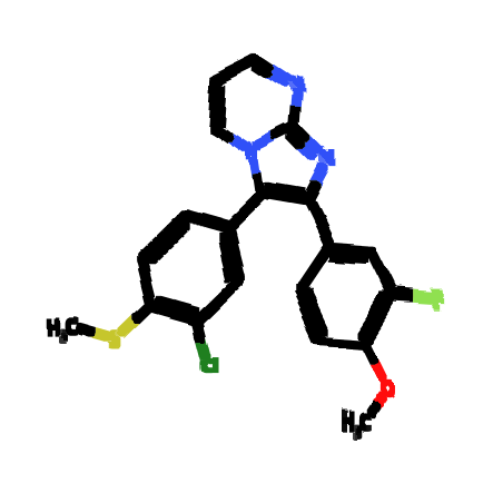 COc1ccc(-c2nc3ncccn3c2-c2ccc(SC)c(Cl)c2)cc1F